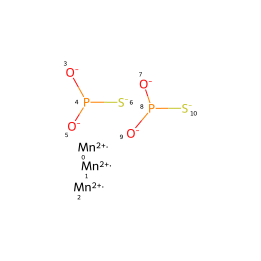 [Mn+2].[Mn+2].[Mn+2].[O-]P([O-])[S-].[O-]P([O-])[S-]